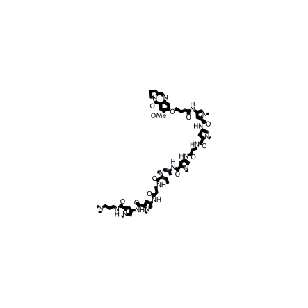 C/C=C(\C(=O)NCCC(=O)Nc1cc(C(=O)Nc2cc(C(=O)NCCCN(C)C)n(C)c2)n(C)c1)N(C)/C=C(\C)NC(=O)c1cc(NC(=O)CCNC(=O)c2cc(NC(=O)c3cc(NC(=O)CCCOc4cc5c(cc4OC)C(=O)N4CCCC4C=N5)cn3C)cn2C)cn1C